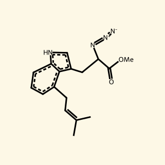 COC(=O)C(Cc1c[nH]c2cccc(CC=C(C)C)c12)N=[N+]=[N-]